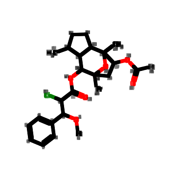 CCOC(c1ccccc1)C(Cl)C(=O)OC1C2C(C)CCC2C2(C)OC1(C(C)C)CC2OC(=O)CC